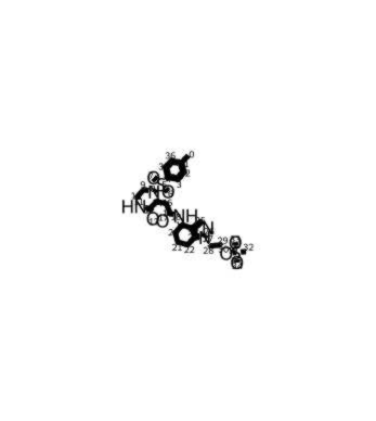 Cc1ccc(S(=O)(=O)N2CCNC(=O)C2CC(=O)NC2CCCc3c2cnn3CCOS(C)(=O)=O)cc1